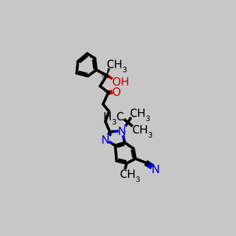 Cc1cc2nc(CCCC(=O)C[C@@](C)(O)c3ccccc3)n(C(C)(C)C)c2cc1C#N